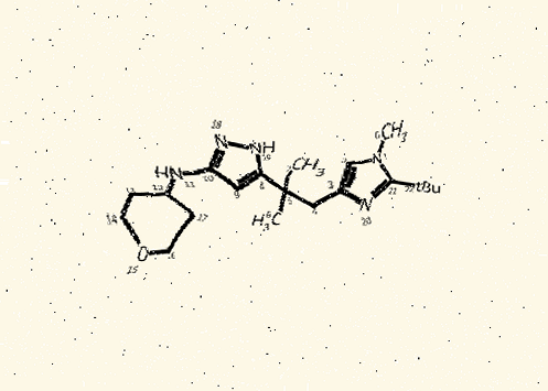 Cn1cc(CC(C)(C)c2cc(NC3CCOCC3)n[nH]2)nc1C(C)(C)C